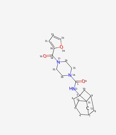 O=C(NC12CC3CC4CC(C1)C2(C4)C3)N1CCN(C(=O)c2ccco2)CC1